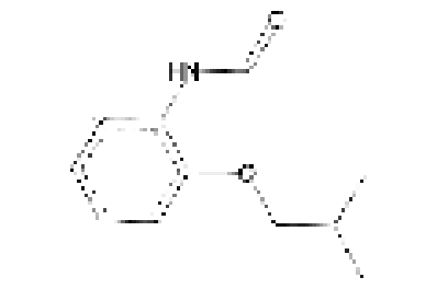 CC(C)COc1ccc[c]c1NC=O